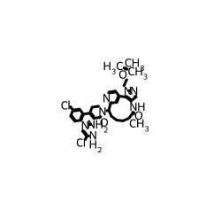 CC1CCCC(N2CCC(c3cc(Cl)ccc3N(N)/C=C(\N)Cl)=CC2=O)c2cc(ccn2)-c2c(cnn2CCOC(C)(C)C)NC1=O